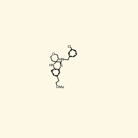 COCCc1ccc2c(c1)N=C(NCc1cccc(Cl)c1)C1(CCOCC1)N2